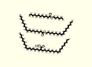 CCCCCCCC/C=C\CCCCCCCCC(CCCCCC/C=C\CCCCCCCC)C(=O)O.CCCCCCCC/C=C\CCCCCCCCOC(=O)CCCCCCC/C=C\CCCCCCCC.CCCCCCCCCCCC(=O)OCCCCCC